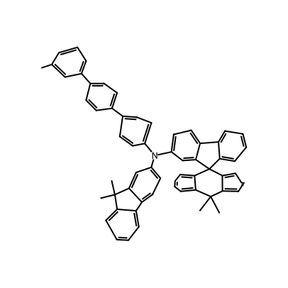 Cc1cccc(-c2ccc(-c3ccc(N(c4ccc5c(c4)C(C)(C)c4ccccc4-5)c4ccc5c(c4)C4(c6ccccc6-5)c5ccccc5C(C)(C)c5ccccc54)cc3)cc2)c1